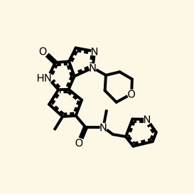 Cc1cc2[nH]c(=O)c3cnn(C4CCOCC4)c3c2cc1C(=O)N(C)Cc1cccnc1